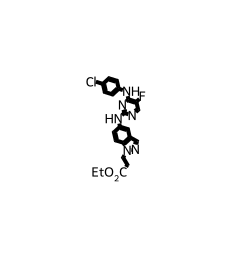 CCOC(=O)CCn1ncc2cc(Nc3ncc(F)c(Nc4ccc(Cl)cc4)n3)ccc21